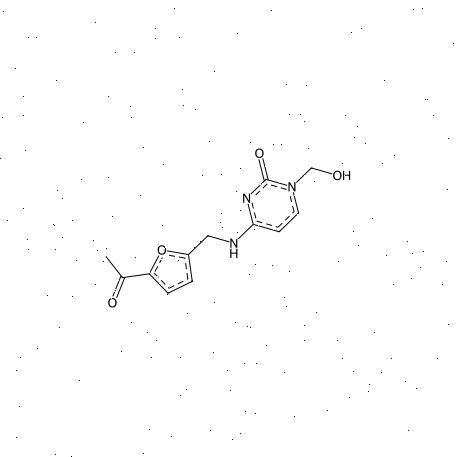 CC(=O)c1ccc(CNc2ccn(CO)c(=O)n2)o1